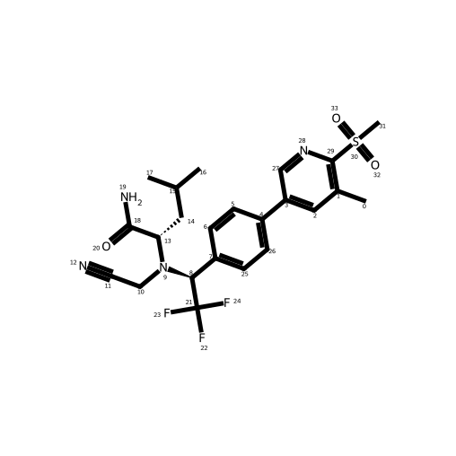 Cc1cc(-c2ccc([C@H](N(CC#N)[C@@H](CC(C)C)C(N)=O)C(F)(F)F)cc2)cnc1S(C)(=O)=O